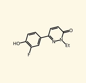 CCn1nc(-c2ccc(O)c(F)c2)ccc1=O